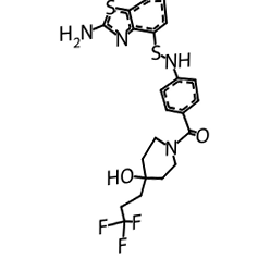 Nc1nc2c(SNc3ccc(C(=O)N4CCC(O)(CCC(F)(F)F)CC4)cc3)cccc2s1